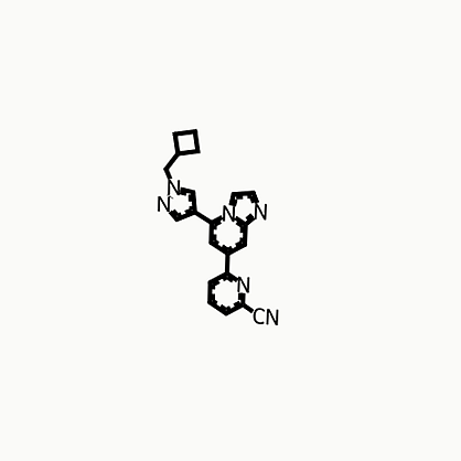 N#Cc1cccc(-c2cc(-c3cnn(CC4CCC4)c3)n3ccnc3c2)n1